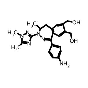 Cc1nc(N2N=C(c3ccc(N)cc3)c3cc(CO)c(CO)cc3CC2C)nn1C